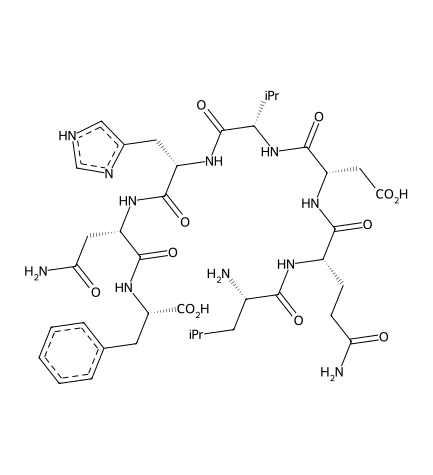 CC(C)C[C@H](N)C(=O)N[C@@H](CCC(N)=O)C(=O)N[C@@H](CC(=O)O)C(=O)N[C@H](C(=O)N[C@@H](Cc1c[nH]cn1)C(=O)N[C@@H](CC(N)=O)C(=O)N[C@@H](Cc1ccccc1)C(=O)O)C(C)C